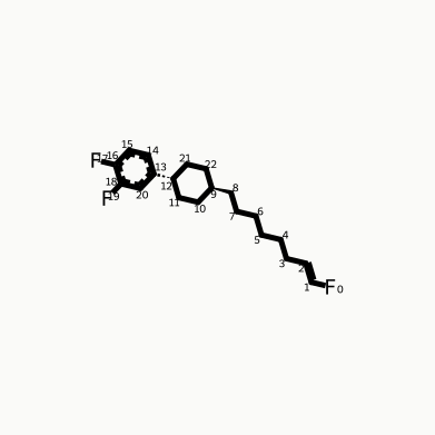 FC=CCCCCCC[C@H]1CC[C@H](c2ccc(F)c(F)c2)CC1